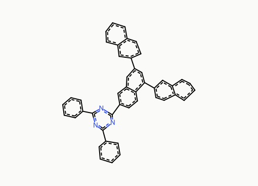 c1ccc(-c2nc(-c3ccccc3)nc(-c3ccc4c(-c5ccc6ccccc6c5)cc(-c5ccc6ccccc6c5)cc4c3)n2)cc1